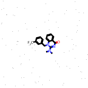 CN(C)c1nc(=O)c2ccccc2n1Cc1cccc(C(F)(F)F)c1